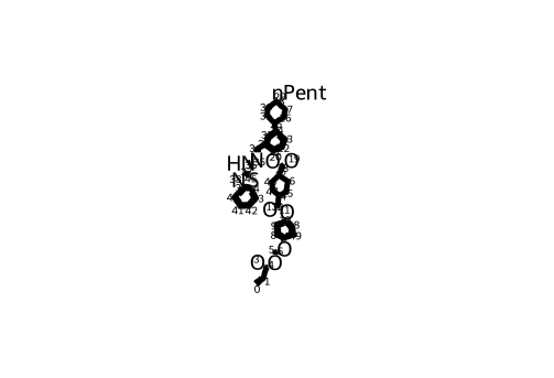 C=CC(=O)OCOc1ccc(OC(=O)C2CCC(C(=O)Oc3ccc(C4CCC(CCCCC)CC4)cc3/C=N/Nc3nc4ccccc4s3)CC2)cc1